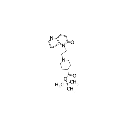 CC(C)(C)OC(=O)C1CCN(CCn2c(=O)ccc3ncccc32)CC1